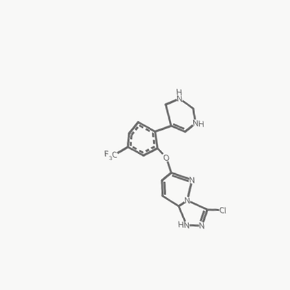 FC(F)(F)c1ccc(C2=CNCNC2)c(OC2=NN3C(Cl)=NNC3C=C2)c1